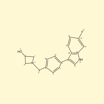 OC1CN(Sc2ccc(-c3c[nH]c4cc(F)ccc34)cc2)C1